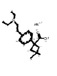 CCN(CC)CCc1ccc(C2(C(=O)O)CC(C)(C)C2)cc1.Cl